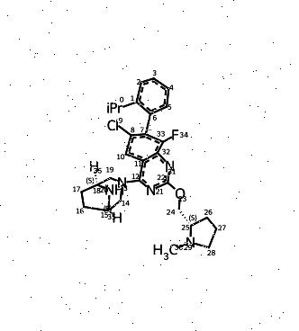 CC(C)c1ccccc1-c1c(Cl)cc2c(N3C[C@H]4CC[C@@H](C3)N4)nc(OC[C@@H]3CCCN3C)nc2c1F